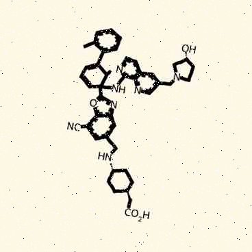 Cc1ccccc1C1=CC=CC(Nc2nccc3cc(CN4CC[C@@H](O)C4)cnc23)(c2nc3cc(CN[C@H]4CC[C@H](CC(=O)O)CC4)cc(C#N)c3o2)C1C